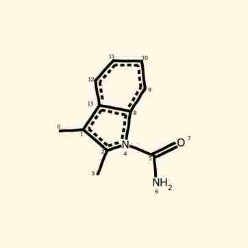 Cc1c(C)n(C(N)=O)c2[c]cccc12